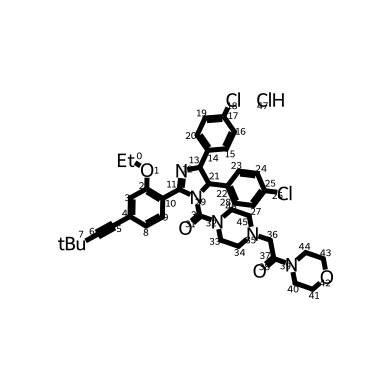 CCOc1cc(C#CC(C)(C)C)ccc1C1=NC(c2ccc(Cl)cc2)C(c2ccc(Cl)cc2)N1C(=O)N1CCN(CC(=O)N2CCOCC2)CC1.Cl